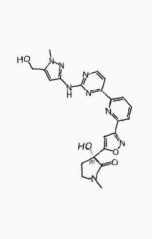 CN1CC[C@@](O)(c2cc(-c3cccc(-c4ccnc(Nc5cc(CO)n(C)n5)n4)n3)no2)C1=O